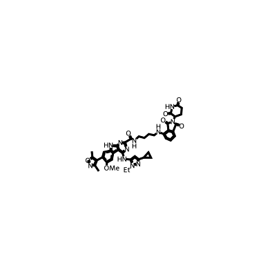 CCn1nc(C2CC2)cc1Nc1nc(C(=O)NCCCCNc2cccc3c2C(=O)N(C2CCC(=O)NC2=O)C3=O)nc2[nH]c3cc(-c4c(C)noc4C)c(OC)cc3c12